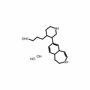 Cl.Cl.O=CCCCC1CCNCC1C1=CC2C=CNCCC2C=C1